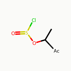 CC(=O)C(C)OS(=O)Cl